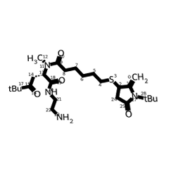 C=C1C(SCCCCCC(=O)N(C)[C@@H](CC(=O)C(C)(C)C)C(=O)NCCN)CC(=O)N1C(C)(C)C